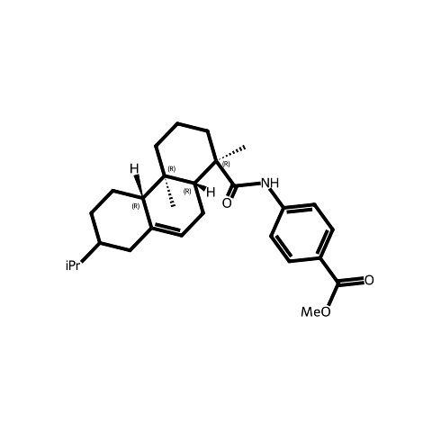 COC(=O)c1ccc(NC(=O)[C@]2(C)CCC[C@@]3(C)[C@H]2CC=C2CC(C(C)C)CC[C@@H]23)cc1